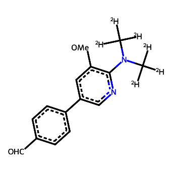 [2H]C([2H])([2H])N(c1ncc(-c2ccc(C=O)cc2)cc1OC)C([2H])([2H])[2H]